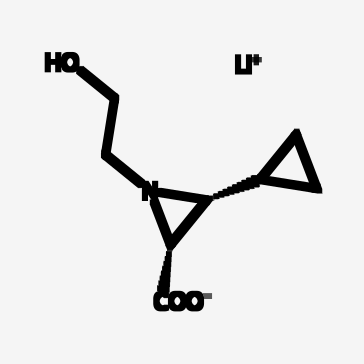 O=C([O-])[C@H]1[C@@H](C2CC2)N1CCO.[Li+]